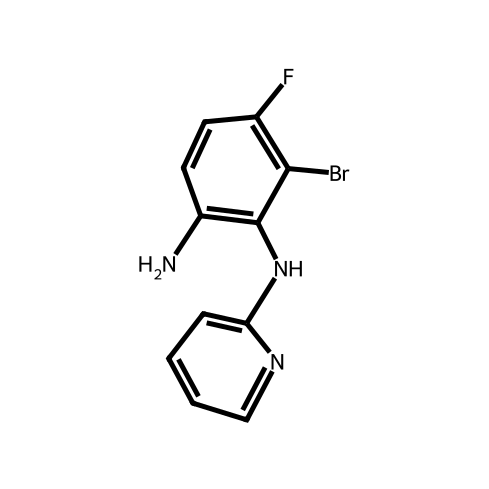 Nc1ccc(F)c(Br)c1Nc1ccccn1